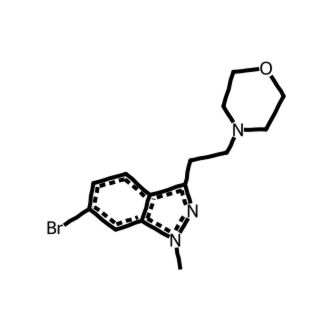 Cn1nc(CCN2CCOCC2)c2ccc(Br)cc21